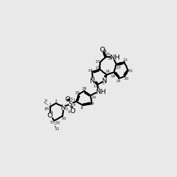 C[C@@H]1CN(S(=O)(=O)c2ccc(Nc3ncc4c(n3)-c3ccccc3NC(=O)C4)cc2)C[C@H](C)O1